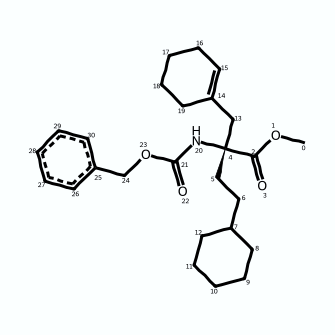 COC(=O)[C@@](CCC1CCCCC1)(CC1=CCCCC1)NC(=O)OCc1ccccc1